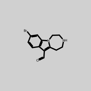 O=Cc1c2n(c3cc(Br)ccc13)CCNCC2